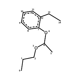 CCCOC(C)Oc1ccccc1CC